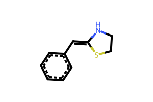 C(=C1NCCS1)c1ccccc1